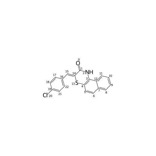 O=C1Nc2c(ccc3ccccc23)SC1=Cc1ccc(Cl)cc1